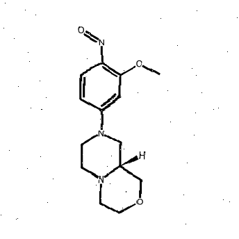 COc1cc(N2CCN3CCOC[C@H]3C2)ccc1N=O